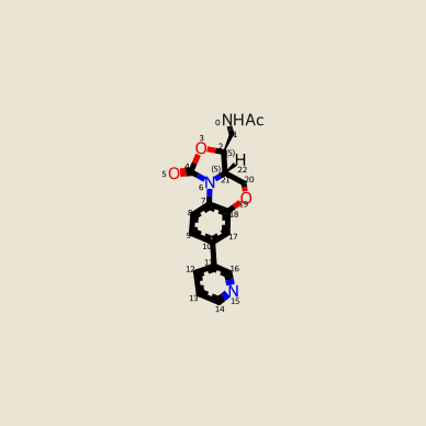 CC(=O)NC[C@@H]1OC(=O)N2c3ccc(-c4cccnc4)cc3OC[C@@H]12